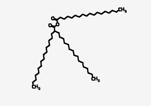 CCCCCCCCCCCCCCCCCC(=O)OC(=O)C(CCCCCCCCCCCCCCCC)CCCCCCCCCCCCCCCC